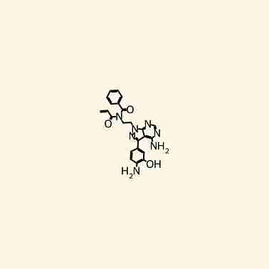 C=CC(=O)N(CCn1nc(-c2ccc(N)c(O)c2)c2c(N)ncnc21)C(=O)c1ccccc1